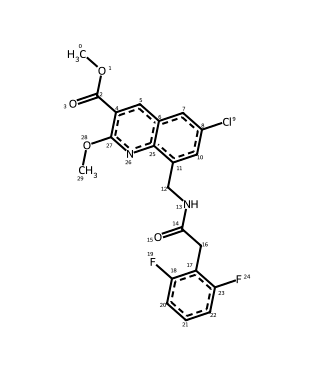 COC(=O)c1cc2cc(Cl)cc(CNC(=O)Cc3c(F)cccc3F)c2nc1OC